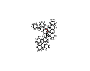 CC1=C2C(C)(CC=C1)c1ccccc1C2(c1ccccc1)c1ccc(N(c2ccc(-c3cccc4c3oc3ccccc34)cc2)c2ccccc2-c2cccc3c2ccc2ccccc23)cc1